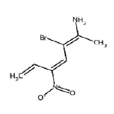 C=C/C(=C\C(Br)=C(/C)N)[N+](=O)[O-]